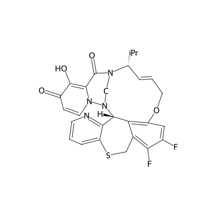 CC(C)[C@@H]1/C=C/COc2cc(F)c(F)c3c2[C@H](c2ncccc2SC3)N2CN1C(=O)c1c(O)c(=O)ccn12